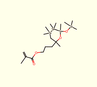 C=C(C)C(=O)OCCCC1(C)C[Si](C)(C)[Si](C)(C)[Si](C)(O[Si](C)(C)C)O1